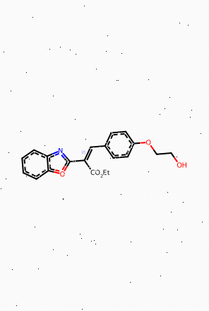 CCOC(=O)/C(=C\c1ccc(OCCO)cc1)c1nc2ccccc2o1